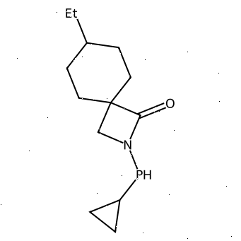 CCC1CCC2(CC1)CN(PC1CC1)C2=O